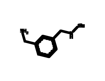 CC(C)(C)NCc1cccc(CN)c1